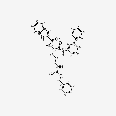 O=C(NCCC[C@H](NC(=O)c1cc2ccccc2o1)C(=O)Nc1cccc(-c2ccccc2)c1)OCc1ccccc1